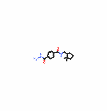 CC1(C)CCCC1CNC(=O)c1ccc(C(=O)NN)cc1